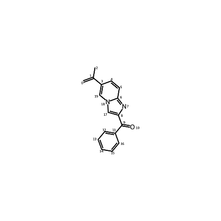 C=C(C)c1ccc2nc(C(=O)c3ccccc3)cn2c1